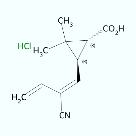 C=CC(C#N)=C[C@@H]1[C@@H](C(=O)O)C1(C)C.Cl